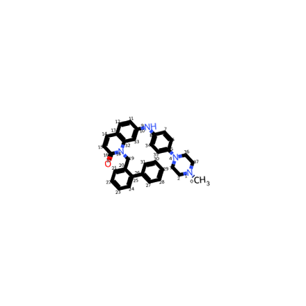 CN1CCN(c2ccc(Nc3ccc4ccc(=O)n(Cc5ccccc5-c5ccccc5)c4c3)cc2)CC1